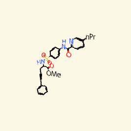 CCCc1ccc(C(=O)Nc2ccc(S(=O)(=O)NC(CC#Cc3ccccc3)C(=O)OC)cc2)nc1